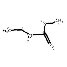 CCOC(=O)SC